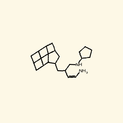 N/C=C\C(CNC1CCCC1)CC1CC2CC3C4CC5CC6C1C23C546